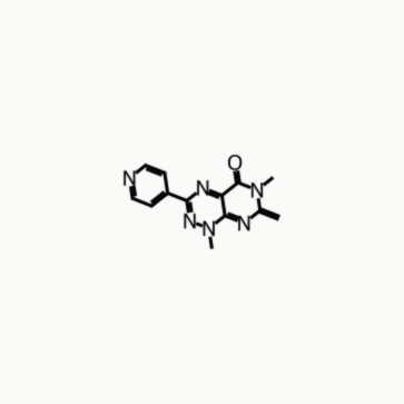 C=c1nc2c(c(=O)n1C)=NC(c1ccncc1)=NN2C